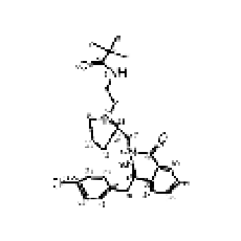 CC(C)(C)C(=O)NCCN1CCC[C@@H]1Cn1nc(Cc2ccc(Cl)cc2)c2ccccc2c1=O